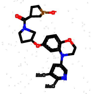 COc1cc(N2CCOc3ccc(O[C@H]4CCN(C(=O)C5CC[S+]([O-])C5)C4)cc32)cnc1OC